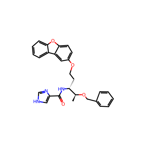 C[C@H](OCc1ccccc1)[C@@H](CCOc1ccc2oc3ccccc3c2c1)NC(=O)c1c[nH]cn1